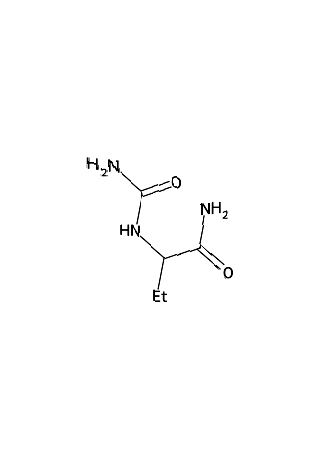 CCC(NC(N)=O)C(N)=O